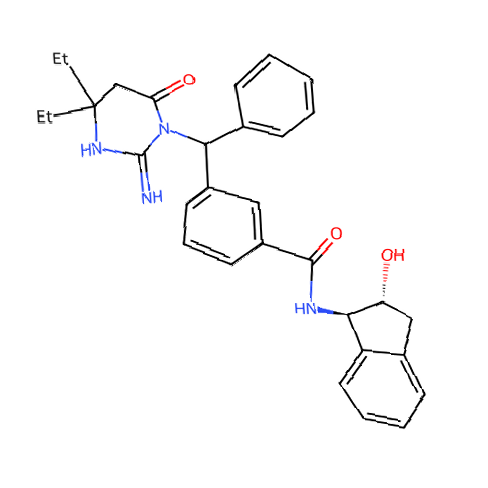 CCC1(CC)CC(=O)N(C(c2ccccc2)c2cccc(C(=O)N[C@@H]3c4ccccc4C[C@H]3O)c2)C(=N)N1